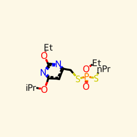 CCCSP(=O)(OCC)SCc1cc(OC(C)C)nc(OCC)n1